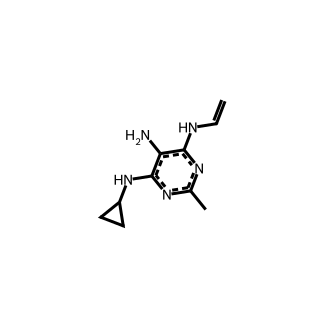 C=CNc1nc(C)nc(NC2CC2)c1N